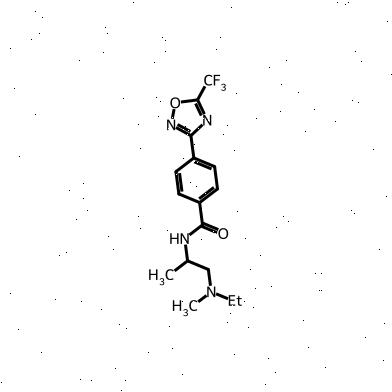 CCN(C)CC(C)NC(=O)c1ccc(-c2noc(C(F)(F)F)n2)cc1